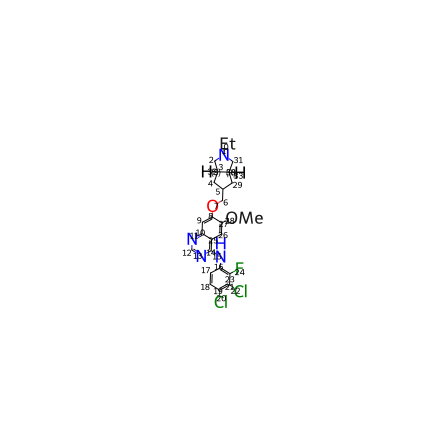 CCN1C[C@H]2CC(COc3cc4ncnc(Nc5ccc(Cl)c(Cl)c5F)c4cc3OC)C[C@H]2C1